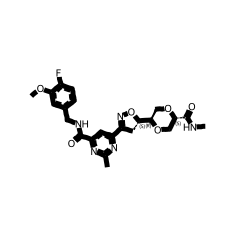 CNC(=O)[C@@H]1CO[C@@H]([C@@H]2CC(c3cc(C(=O)NCc4ccc(F)c(OC)c4)nc(C)n3)=NO2)CO1